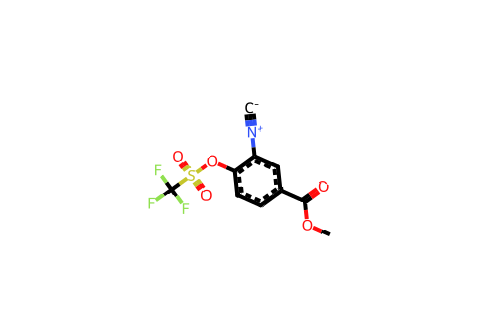 [C-]#[N+]c1cc(C(=O)OC)ccc1OS(=O)(=O)C(F)(F)F